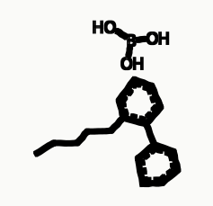 CCCCCc1ccccc1-c1ccccc1.OB(O)O